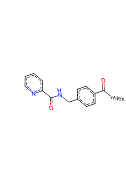 CCCCCCC(=O)c1ccc(CNC(=O)c2ccccn2)cc1